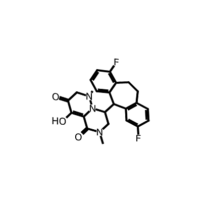 CN1CC(C2c3cc(F)ccc3CCc3c(F)cccc32)N2C(=C(O)C(=O)CN2C)C1=O